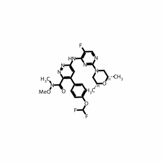 CON(C)C(=O)c1nnc(Nc2nc(N3C[C@@H](C)O[C@@H](C)C3)ncc2F)cc1-c1ccc(OC(F)F)cc1